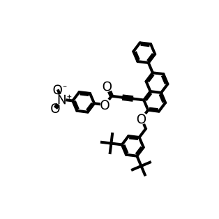 CC(C)(C)c1cc(COc2ccc3ccc(-c4ccccc4)cc3c2C#CC(=O)Oc2ccc([N+](=O)[O-])cc2)cc(C(C)(C)C)c1